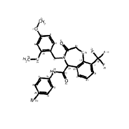 COc1ccc(CN2C(=O)COc3c(cccc3C(F)(F)F)C2C(=O)Nc2ccc(Br)cc2)c(OC)c1